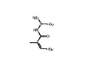 CCCCC=C(C)C(=O)NN(CCCC)CCCC